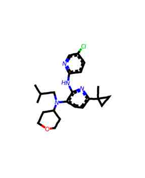 CC(C)CN(c1ccc(C2(C)CC2)nc1Nc1ccc(Cl)cn1)C1CCOCC1